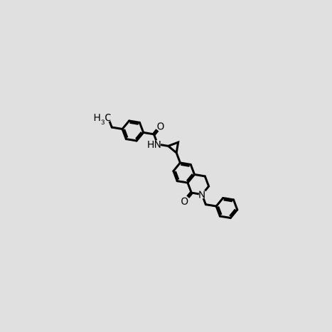 CCc1ccc(C(=O)NC2CC2c2ccc3c(c2)CCN(Cc2ccccc2)C3=O)cc1